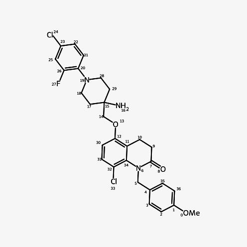 COc1ccc(CN2C(=O)CCc3c(OCC4(N)CCN(c5ccc(Cl)cc5F)CC4)ccc(Cl)c32)cc1